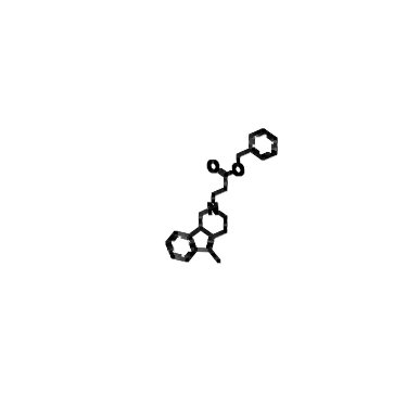 CC1=C2CCN(CCC(=O)OCc3ccccc3)CC2c2ccccc21